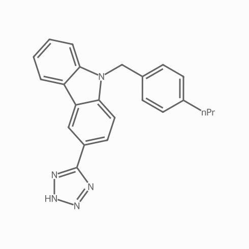 CCCc1ccc(Cn2c3ccccc3c3cc(-c4nn[nH]n4)ccc32)cc1